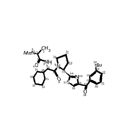 CN[C@@H](C)C(=O)N[C@H](C(=O)N1CCC[C@H]1c1nc(C(=O)c2cccc(C(C)(C)C)c2)cs1)C1CCCCC1